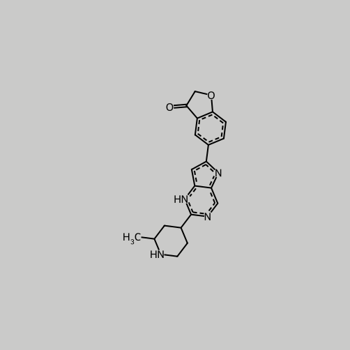 CC1CC(c2ncc3nc(-c4ccc5c(c4)C(=O)CO5)cc-3[nH]2)CCN1